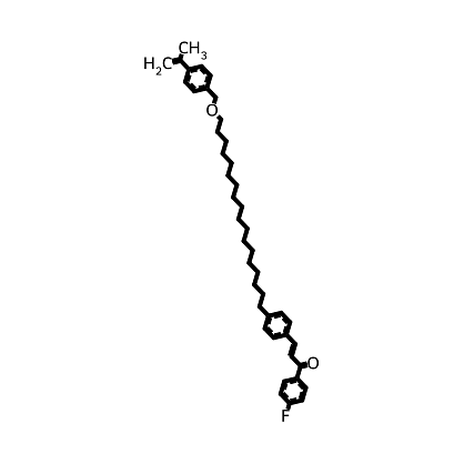 C=C(C)c1ccc(COCCCCCCCCCCCCCCCCCCc2ccc(C=CC(=O)c3ccc(F)cc3)cc2)cc1